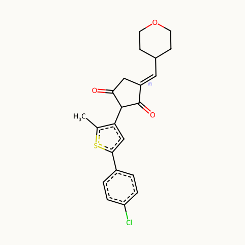 Cc1sc(-c2ccc(Cl)cc2)cc1C1C(=O)C/C(=C\C2CCOCC2)C1=O